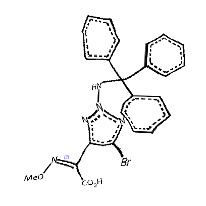 CO/N=C(\C(=O)O)c1nn(NC(c2ccccc2)(c2ccccc2)c2ccccc2)nc1Br